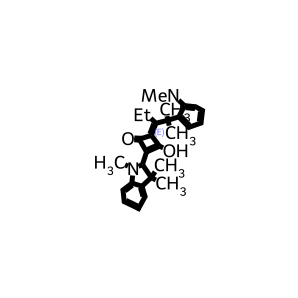 CC/C(=C1\C(=O)C(C2N(C)c3ccccc3C2(C)C)=C1O)C(C)(C)c1ccccc1NC